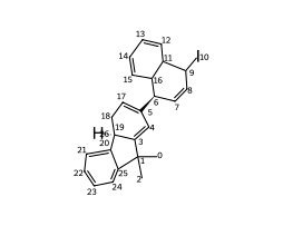 CC1(C)C2=CC([C@@H]3C=CC(I)C4C=CC=CC43)=CC[C@@H]2c2ccccc21